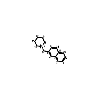 c1ccc2cc(CN3CCCCC3)ccc2c1